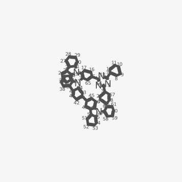 c1ccc(-c2nc(-c3ccccc3)nc(-c3ccc(-n4c5ccccc5c5ccccc54)c(-n4c5ccccc5c5ccc(-c6ccc7c(c6)c6ccccc6n7-c6ccccc6)cc54)c3)n2)cc1